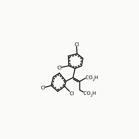 O=C(O)CC(C(=O)O)=C(c1ccc(Cl)cc1Cl)c1ccc(Cl)cc1Cl